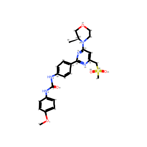 COc1ccc(NC(=O)Nc2ccc(-c3nc(CS(C)(=O)=O)cc(N4CCOC[C@@H]4C)n3)cc2)cc1